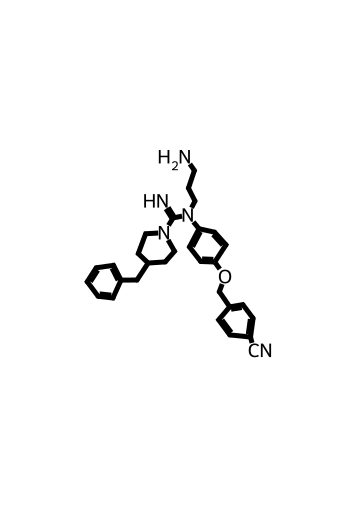 N#Cc1ccc(COc2ccc(N(CCCN)C(=N)N3CCC(Cc4ccccc4)CC3)cc2)cc1